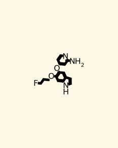 Nc1cc(Oc2cc3cc[nH]c3cc2OCCCF)ccn1